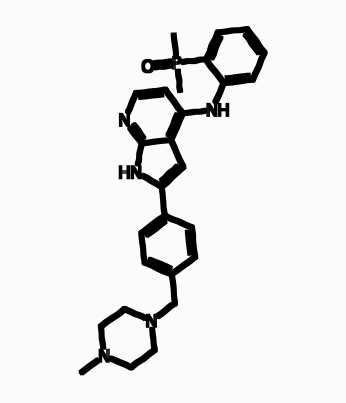 CN1CCN(Cc2ccc(-c3cc4c(Nc5ccccc5P(C)(C)=O)ccnc4[nH]3)cc2)CC1